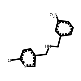 O=[N+]([O-])c1cccc(CNCc2ccc(Cl)nc2)c1